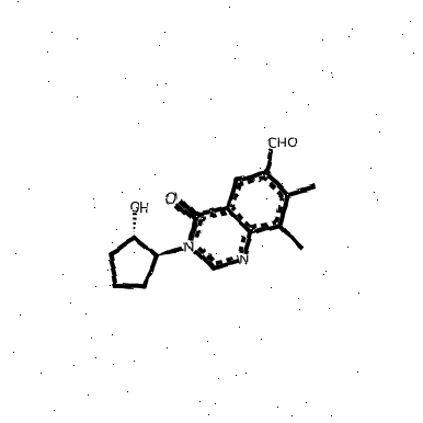 Cc1c(C=O)cc2c(=O)n([C@H]3CCC[C@@H]3O)cnc2c1C